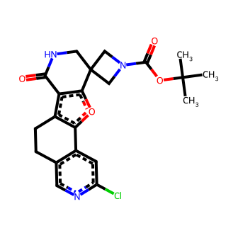 CC(C)(C)OC(=O)N1CC2(CNC(=O)c3c2oc2c3CCc3cnc(Cl)cc3-2)C1